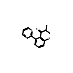 CC(C)C(=O)c1c(F)cccc1-c1ncccn1